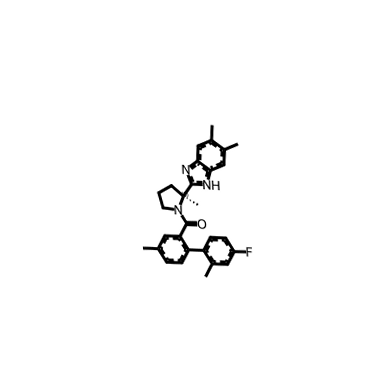 Cc1ccc(-c2ccc(F)cc2C)c(C(=O)N2CCC[C@@]2(C)c2nc3cc(C)c(C)cc3[nH]2)c1